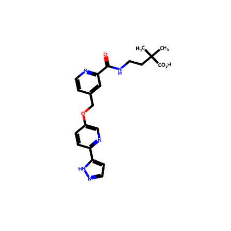 CC(C)(CCNC(=O)c1cc(COc2ccc(-c3ccn[nH]3)nc2)ccn1)C(=O)O